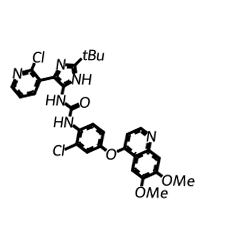 COc1cc2nccc(Oc3ccc(NC(=O)Nc4[nH]c(C(C)(C)C)nc4-c4cccnc4Cl)c(Cl)c3)c2cc1OC